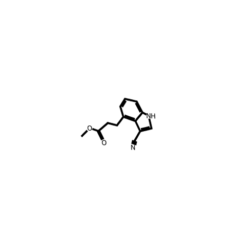 COC(=O)CCc1cccc2[nH]cc(C#N)c12